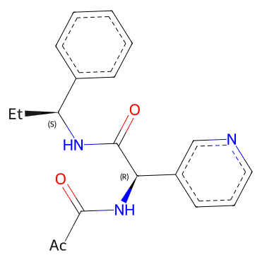 CC[C@H](NC(=O)[C@H](NC(=O)C(C)=O)c1cccnc1)c1ccccc1